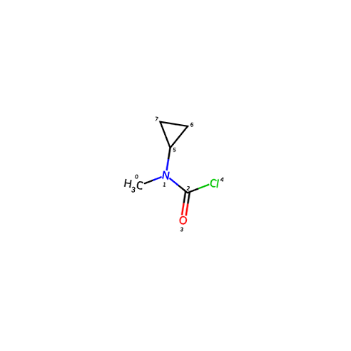 CN(C(=O)Cl)C1CC1